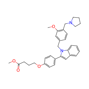 COC(=O)CCCOc1ccc(-c2cc3ccccc3n2Cc2ccc(CN3CCCC3)c(OC)c2)cc1